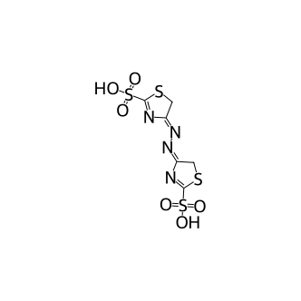 O=S(=O)(O)C1=NC(=NN=C2CSC(S(=O)(=O)O)=N2)CS1